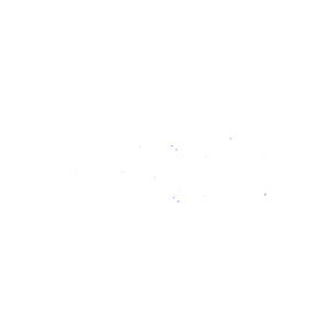 CC(C)(C)C1Nc2ccccc2N1